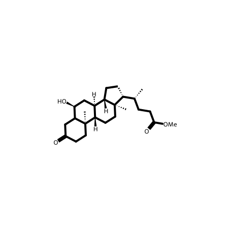 COC(=O)CC[C@@H](C)[C@H]1CC[C@H]2[C@@H]3C[C@H](O)C4CC(=O)CC[C@]4(C)[C@H]3CC[C@]12C